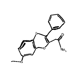 COc1ccc2c(c1)OC(C(N)=O)=C(c1ccccc1)O2